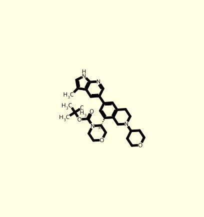 Cc1c[nH]c2ncc(-c3cc4c(c([C@@H]5COCCN5C(=O)OC(C)(C)C)c3)CN(C3CCOCC3)CC4)cc12